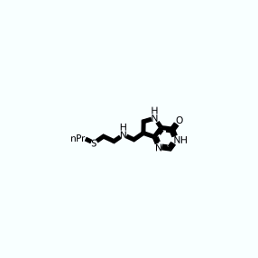 CCCSCCNCC1CNc2c1nc[nH]c2=O